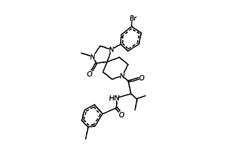 Cc1cccc(C(=O)NC(C(=O)N2CCC3(CC2)C(=O)N(C)CN3c2cccc(Br)c2)C(C)C)c1